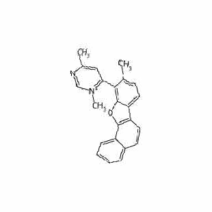 Cc1cc(-c2c(C)ccc3c2oc2c4ccccc4ccc32)[n+](C)cn1